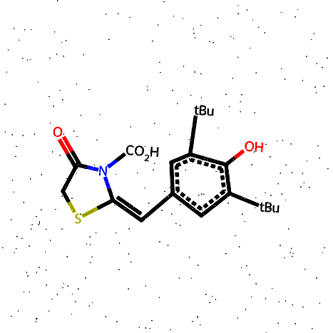 CC(C)(C)c1cc(C=C2SCC(=O)N2C(=O)O)cc(C(C)(C)C)c1O